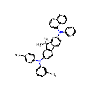 Cc1ccc(N(c2cccc(C)c2)c2ccc3c(c2)C(C)(C)c2cc(N(c4ccccc4)c4cccc5ccccc45)ccc2-3)cc1